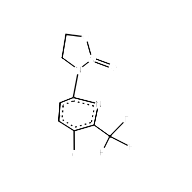 O=S1OCCN1c1ccc(Cl)c(C(F)(F)F)n1